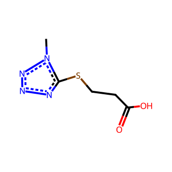 Cn1nnnc1SCCC(=O)O